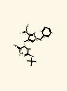 CC(C)(C)OC(=O)N[C@@H](Cc1cn(Cc2ccccc2)nc1[N+](=O)[O-])C(=O)O